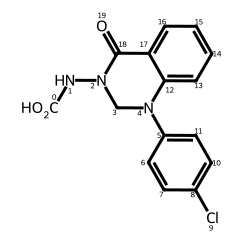 O=C(O)NN1CN(c2ccc(Cl)cc2)c2ccccc2C1=O